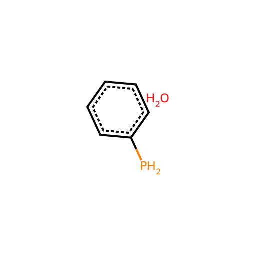 O.Pc1ccccc1